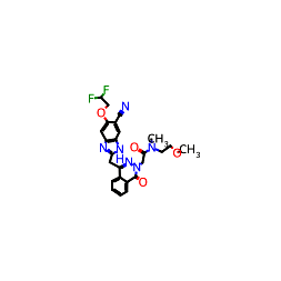 COCCN(C)C(=O)Cn1nc(Cc2nc3cc(OCC(F)F)c(C#N)cc3[nH]2)c2ccccc2c1=O